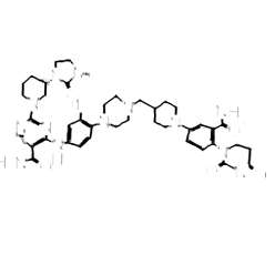 CN1CCN([C@@H]2CCCN(c3nnc(C(N)=O)c(Nc4ccc(N5CCN(CC6CCN(c7ccc(N8CCC(=O)NC8=O)c(C(N)=O)c7)CC6)CC5)c(F)c4)n3)C2)C1=O